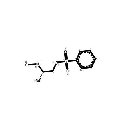 CC(C)(C)[C@@H](CNS(=O)(=O)c1ccccc1)NCl